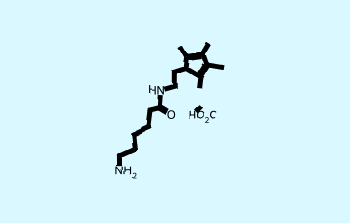 CC(=O)O.CC1=C(C)C(CCNC(=O)CCCCCN)C(C)=C1C